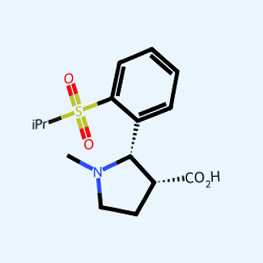 CC(C)S(=O)(=O)c1ccccc1[C@@H]1[C@H](C(=O)O)CCN1C